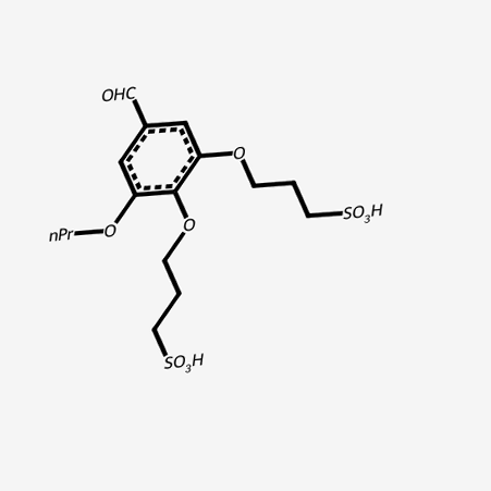 CCCOc1cc(C=O)cc(OCCCS(=O)(=O)O)c1OCCCS(=O)(=O)O